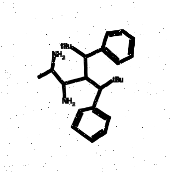 CC(N)C(N)C(C(c1ccccc1)C(C)(C)C)C(c1ccccc1)C(C)(C)C